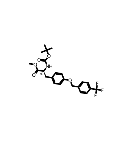 COC(=O)[C@H](Cc1ccc(OCc2ccc(C(F)(F)F)cc2)cc1)NC(=O)OC(C)(C)C